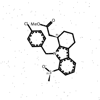 COC(=O)C[C@H]1CCCc2c1n(Cc1ccc(Cl)cc1)c1c([S@@+](C)[O-])cccc21